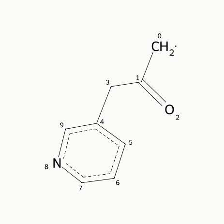 [CH2]C(=O)Cc1cccnc1